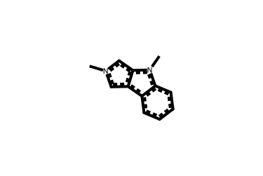 Cn1cc2c3ccccc3n(C)c2c1